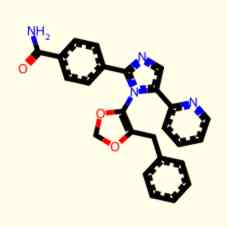 NC(=O)c1ccc(-c2ncc(-c3ccccn3)n2C2=C(Cc3ccccc3)OCO2)cc1